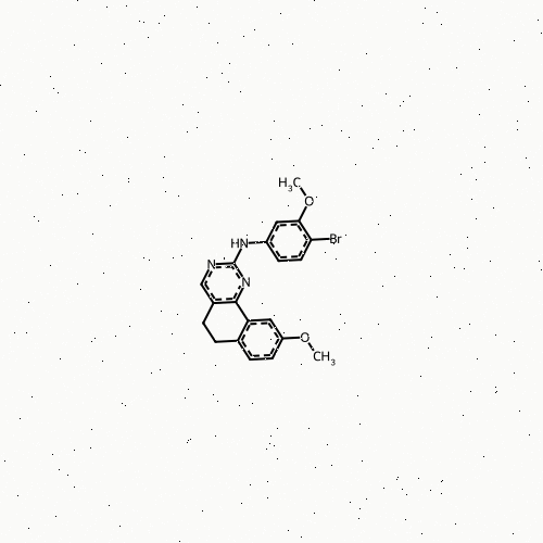 COc1ccc2c(c1)-c1nc(Nc3ccc(Br)c(OC)c3)ncc1CC2